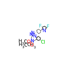 CC(C)(C)OC(=O)N1Cc2cc(Cl)ccc2-n2c(nnc2[C@H]2CC[C@H](c3ncc(F)cc3F)CC2)C1